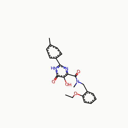 CCOc1ccccc1CN(C)C(=O)c1nc(-c2ccc(C)cc2)[nH]c(=O)c1O